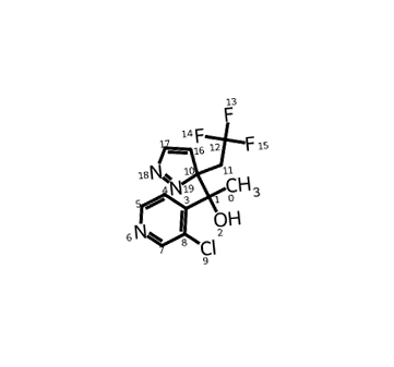 CC(O)(c1ccncc1Cl)C1(CC(F)(F)F)C=CN=N1